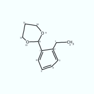 CCc1ccccc1C1OCCCO1